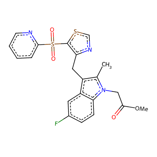 COC(=O)Cn1c(C)c(Cc2ncsc2S(=O)(=O)c2ccccn2)c2cc(F)ccc21